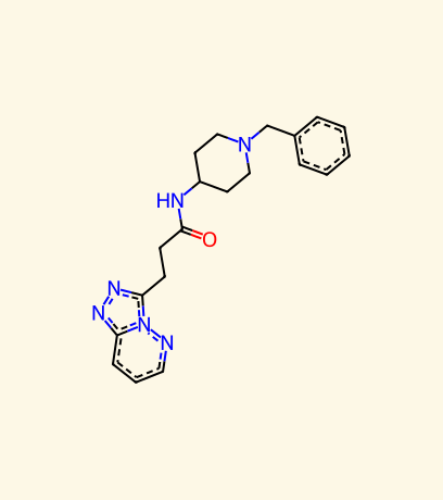 O=C(CCc1nnc2cccnn12)NC1CCN(Cc2ccccc2)CC1